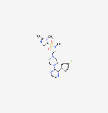 CC1=NCC(S(=O)(=O)N(C)CCN2CCN(c3nccnc3-c3ccc(F)cc3)CC2)N1C